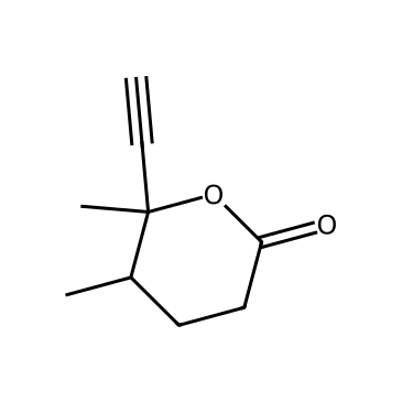 C#CC1(C)OC(=O)CCC1C